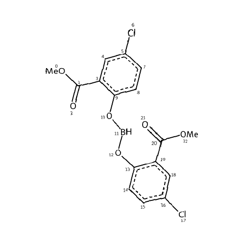 COC(=O)c1cc(Cl)ccc1OBOc1ccc(Cl)cc1C(=O)OC